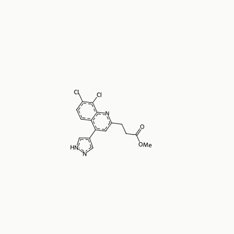 COC(=O)CCc1cc(-c2cn[nH]c2)c2ccc(Cl)c(Cl)c2n1